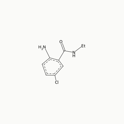 CCNC(=O)c1cc(Cl)ccc1N